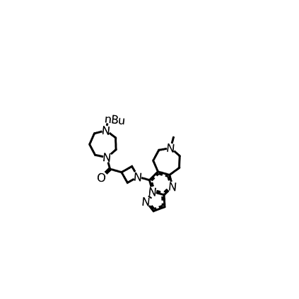 CCCCN1CCCN(C(=O)C2CN(c3c4c(nc5ccnn35)CCN(C)CC4)C2)CC1